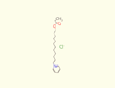 C=CC(=O)OCCCCCCCCCCCC[n+]1ccccc1.[Cl-]